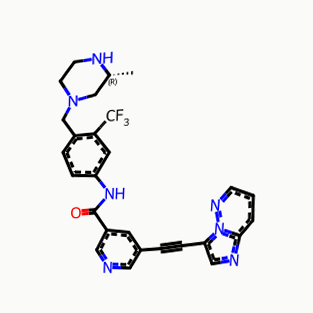 C[C@@H]1CN(Cc2ccc(NC(=O)c3cncc(C#Cc4cnc5cccnn45)c3)cc2C(F)(F)F)CCN1